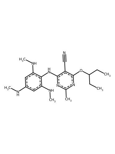 CCC(CC)Oc1nc(C)nc(Nc2c(NC)cc(NC)cc2NC)c1C#N